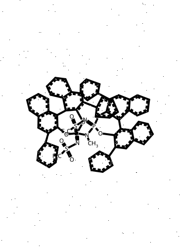 CN(P1(=NS(=O)(=O)C(F)(F)F)Oc2c(-c3ccccc3)cc3ccccc3c2-c2c(c(-c3ccccc3)cc3ccccc23)O1)P1(=NS(=O)(=O)C(F)(F)F)Oc2c(-c3ccccc3)cc3ccccc3c2-c2c(c(-c3ccccc3)cc3ccccc23)O1